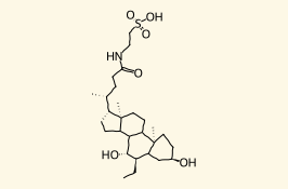 CC[C@@H]1C2C[C@H](O)CC[C@]2(C)C2CC[C@@]3(C)C(CC[C@@H]3[C@H](C)CCC(=O)NCCS(=O)(=O)O)C2[C@H]1O